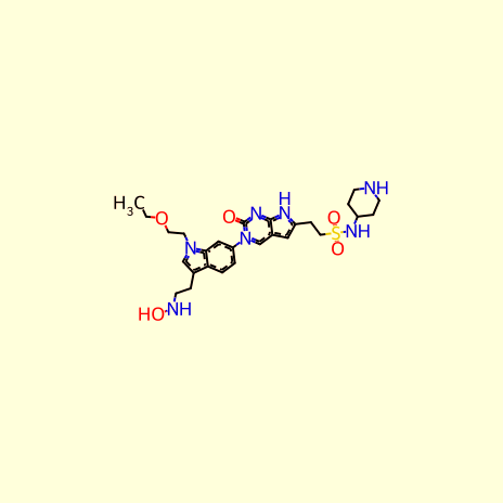 CCOCCn1cc(CCNO)c2ccc(-n3cc4cc(CCS(=O)(=O)NC5CCNCC5)[nH]c4nc3=O)cc21